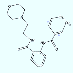 C/C=C\C(=C/C)C(=O)Nc1ccccc1C(=O)NCCN1CCOCC1